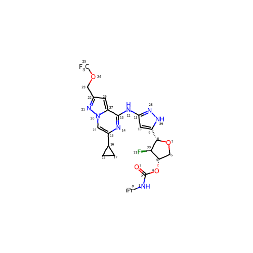 CC(C)NC(=O)O[C@H]1CO[C@@H](c2cc(Nc3nc(C4CC4)cn4nc(COC(F)(F)F)cc34)n[nH]2)[C@@H]1F